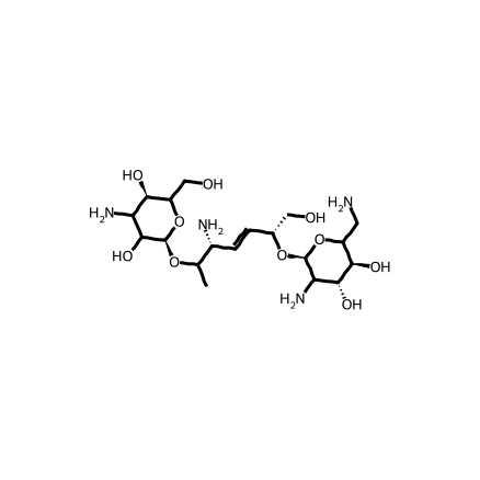 CC(O[C@@H]1OC(CO)[C@H](O)C(N)C1O)[C@H](N)/C=C/[C@H](CO)O[C@H]1OC(CN)[C@@H](O)[C@H](O)C1N